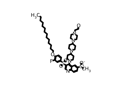 CCCCCCCCCCCCCCOc1ccc(S(=O)(=O)c2cnc3ccc([S+](C)[O-])cc3c2N2CCC(N3CCC(N4CCN(CC=O)CC4)CC3)CC2)cc1F